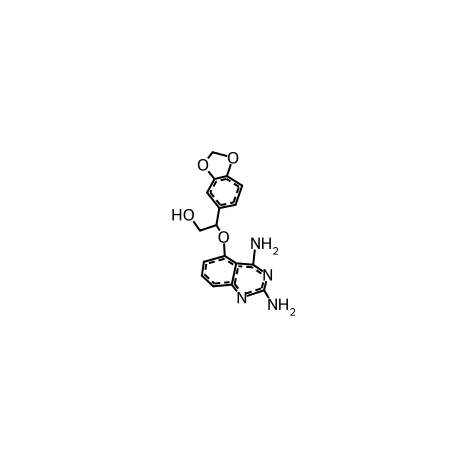 Nc1nc(N)c2c(OC(CO)c3ccc4c(c3)OCO4)cccc2n1